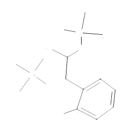 CCCCC(O[Si](C)(C)C)[C@@H](O[Si](C)(C)C)c1ccccc1Cl